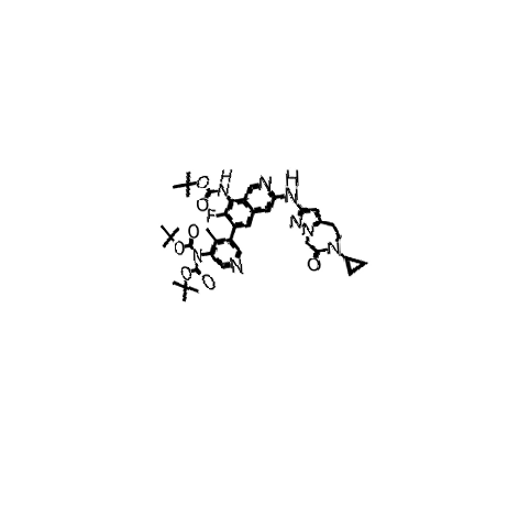 Cc1c(-c2cc3cc(Nc4cc5n(n4)CC(=O)N(C4CC4)CC5)ncc3c(NC(=O)OC(C)(C)C)c2F)cncc1N(C(=O)OC(C)(C)C)C(=O)OC(C)(C)C